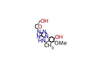 COc1cc(C(C)Nc2ncnc3c2ncn3[C@H]2CC[C@@H](CO)O2)ccc1O